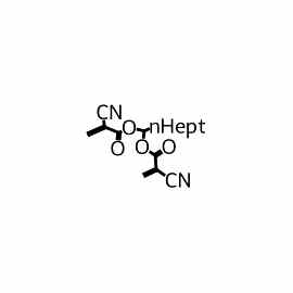 C=C(C#N)C(=O)OC(CCCCCCC)OC(=O)C(=C)C#N